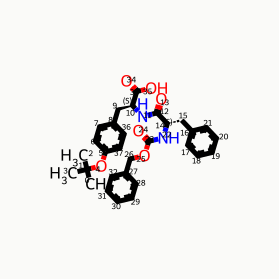 CC(C)(C)Oc1ccc(C[C@H](NC(=O)[C@H](Cc2ccccc2)NC(=O)OCc2ccccc2)C(=O)O)cc1